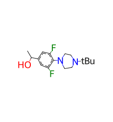 CC(O)c1cc(F)c(N2CCN(C(C)(C)C)CC2)c(F)c1